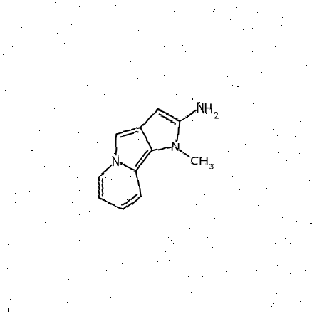 Cn1c(N)cc2cn3ccccc3c21